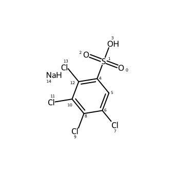 O=S(=O)(O)c1cc(Cl)c(Cl)c(Cl)c1Cl.[NaH]